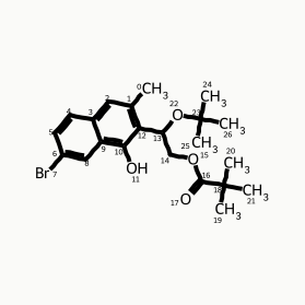 Cc1cc2ccc(Br)cc2c(O)c1C(COC(=O)C(C)(C)C)OC(C)(C)C